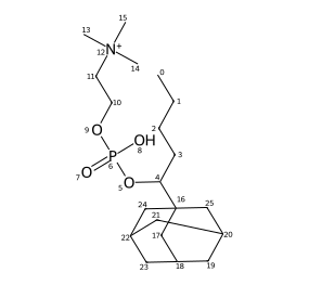 CCCCC(OP(=O)(O)OCC[N+](C)(C)C)C12CC3CC(CC(C3)C1)C2